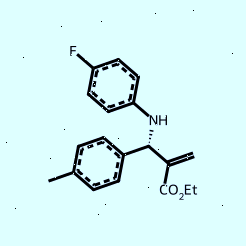 C=C(C(=O)OCC)[C@@H](Nc1ccc(F)cc1)c1ccc(C)cc1